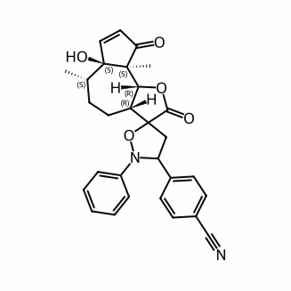 C[C@H]1CC[C@@H]2[C@@H](OC(=O)C23CC(c2ccc(C#N)cc2)N(c2ccccc2)O3)[C@]2(C)C(=O)C=C[C@@]12O